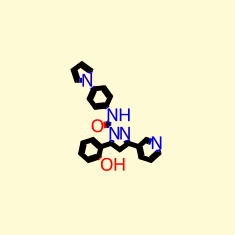 O=C(Nc1ccc(-n2cccc2)cc1)N1N=C(c2cccnc2)CC1c1ccccc1O